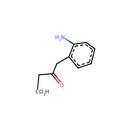 Nc1ccccc1CC(=O)CC(=O)O